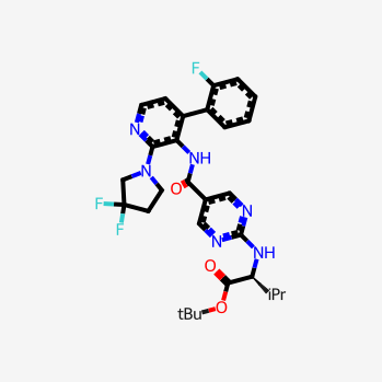 CC(C)[C@H](Nc1ncc(C(=O)Nc2c(-c3ccccc3F)ccnc2N2CCC(F)(F)C2)cn1)C(=O)OC(C)(C)C